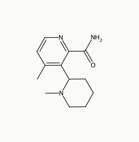 Cc1ccnc(C(N)=O)c1C1CCCCN1C